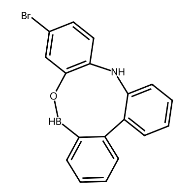 Brc1ccc2c(c1)OBc1ccccc1-c1ccccc1N2